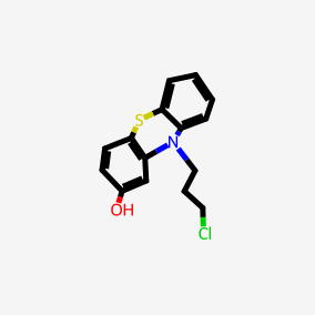 Oc1ccc2c(c1)N(CCCCl)c1ccccc1S2